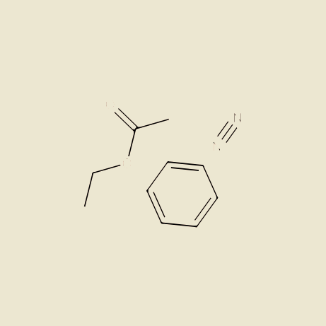 CCOC(C)=O.N#N.c1ccccc1